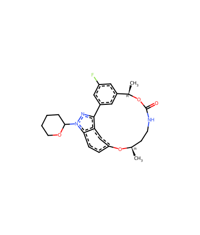 C[C@@H]1CCNC(=O)O[C@H](C)c2cc(F)cc(c2)-c2nn(C3CCCCO3)c3ccc(cc23)O1